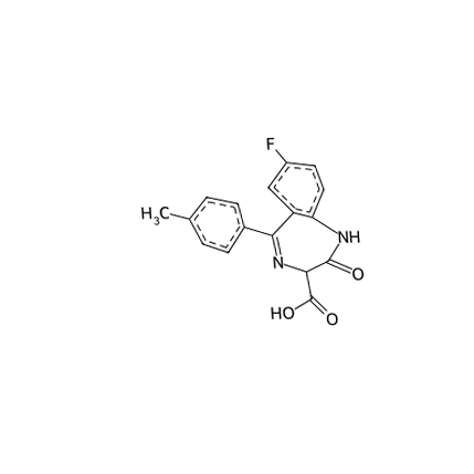 Cc1ccc(C2=NC(C(=O)O)C(=O)Nc3ccc(F)cc32)cc1